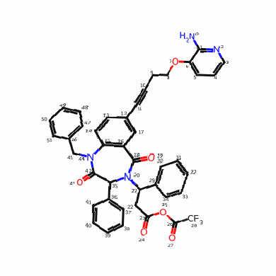 Nc1ncccc1OCCC#Cc1ccc2c(c1)C(=O)N(C(CC(=O)OC(=O)C(F)(F)F)c1ccccc1)C(c1ccccc1)C(=O)N2Cc1ccccc1